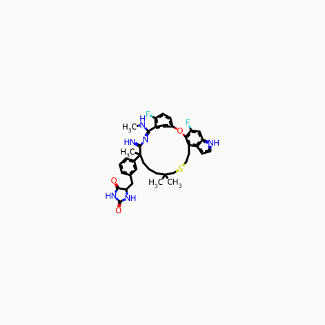 CN/C1=N\C(=N)C(C)(c2cccc(CC3NC(=O)NC3=O)c2)CCCC(C)(C)CSCCc2c(c(F)cc3[nH]ccc23)Oc2ccc(F)c1c2